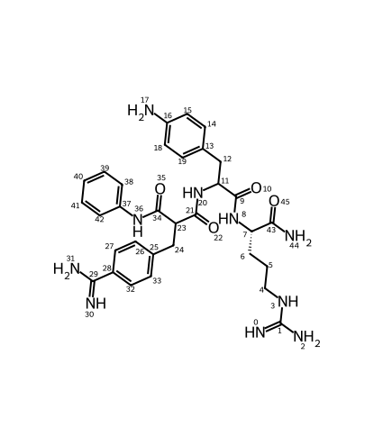 N=C(N)NCCC[C@H](NC(=O)C(Cc1ccc(N)cc1)NC(=O)C(Cc1ccc(C(=N)N)cc1)C(=O)Nc1ccccc1)C(N)=O